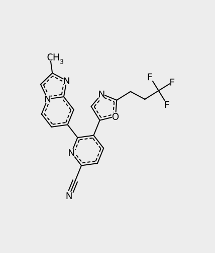 Cc1cn2ccc(-c3nc(C#N)ccc3-c3cnc(CCC(F)(F)F)o3)cc2n1